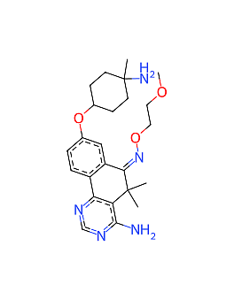 COCCO/N=C1\c2cc(OC3CCC(C)(N)CC3)ccc2-c2ncnc(N)c2C1(C)C